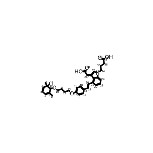 CC1=CC=CC(C)(Cl)C1OCCCCOc1ccc(/C=C/c2cccc3c2c(CC(=O)O)cn3CCCC(=O)O)cc1